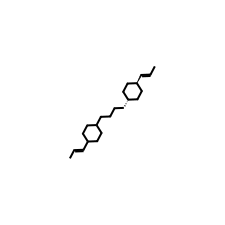 C/C=C/C1CCC(CCCC[C@H]2CC[C@H](/C=C/C)CC2)CC1